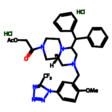 COc1ccc(-n2nnnc2C(F)(F)F)cc1CN1CC(C(c2ccccc2)c2ccccc2)N2CCN(C(=O)COC(C)=O)C[C@H]2C1.Cl.Cl